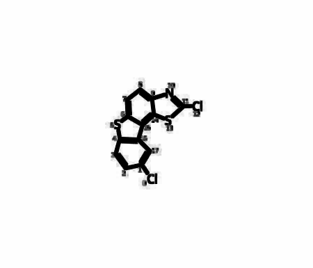 Clc1ccc2sc3ccc4nc(Cl)sc4c3c2c1